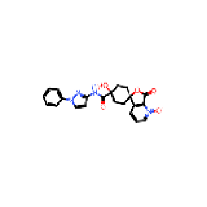 O=C1O[C@]2(CC[C@@](O)(C(=O)Nc3ccn(-c4ccccc4)n3)CC2)c2ccc[n+]([O-])c21